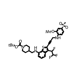 COc1cc(S(C)(=O)=O)ccc1NCC#Cc1sc2c(NCC3CCN(C(=O)OC(C)(C)C)CC3)cccc2c1C(F)C(F)F